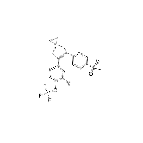 CS(=O)(=O)c1ccc(C2=C(c3ccc(OC(F)(F)F)c(Cl)c3)CC3(CC3)C2)cc1